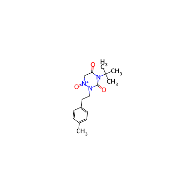 Cc1ccc(CCN2C(=O)N(C(C)(C)C)C(=O)C[N+]2=O)cc1